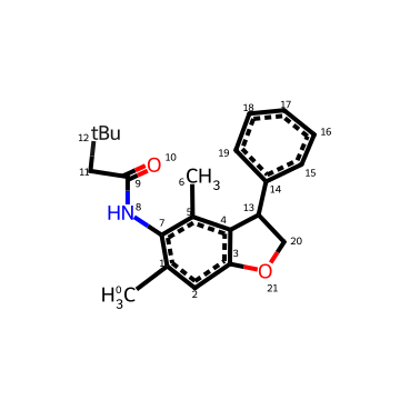 Cc1cc2c(c(C)c1NC(=O)CC(C)(C)C)C(c1ccccc1)CO2